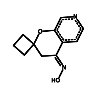 O/N=C1\CC2(CCC2)Oc2cnccc21